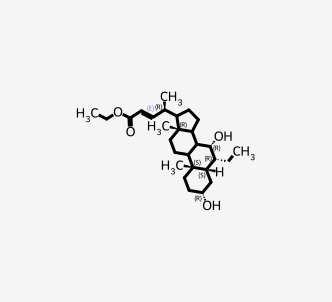 CCOC(=O)/C=C/[C@@H](C)C1CCC2C3C(CC[C@@]21C)[C@@]1(C)CC[C@@H](O)C[C@H]1[C@@H](CC)[C@H]3O